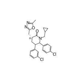 Cc1nnc(C[C@H]2CC(c3cccc(Cl)c3)C(c3ccc(Cl)cc3)N(CC3CC3)C2=O)o1